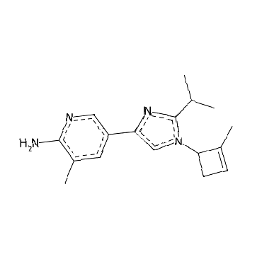 CC1=CCC1n1cc(-c2cnc(N)c(C)c2)nc1C(C)C